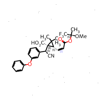 CO[C@@](C)(OC(=O)/C=C\[C@H]1C(C)(C)[C@]1(C(=O)O)[C@@H](C#N)c1cccc(Oc2ccccc2)c1)C(F)(F)F